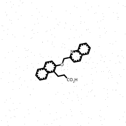 O=C(O)CCc1c(OCc2ccc3ccccc3n2)ccc2ccccc12